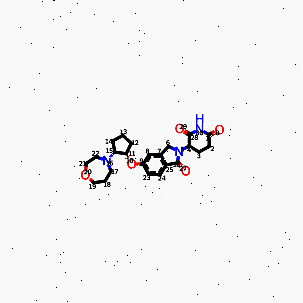 O=C1CCC(N2Cc3cc(O[C@H]4CCC[C@@H]4N4CCCOCC4)ccc3C2=O)C(=O)N1